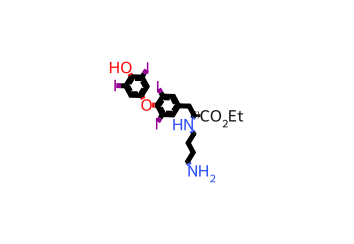 CCOC(=O)[C@H](Cc1cc(I)c(Oc2cc(I)c(O)c(I)c2)c(I)c1)NCCCCN